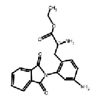 CCOC(=O)[C@@H](N)Cc1ccc(N)cc1N1C(=O)c2ccccc2C1=O